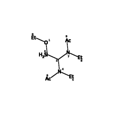 CCO[SiH2]C(N(CC)C(C)=O)N(CC)C(C)=O